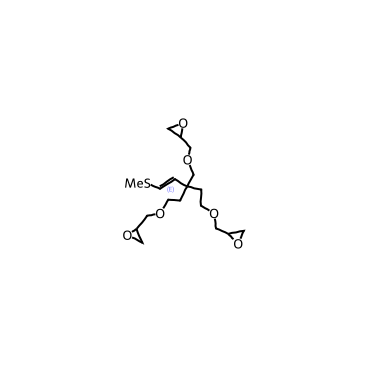 CS/C=C/C(CCOCC1CO1)(CCOCC1CO1)COCC1CO1